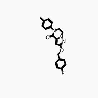 Cc1ccc(N2CCn3nc(OCc4ccc(F)cc4)cc3C2=O)cc1